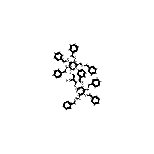 OC(CO[C@H]1O[C@H](COCc2ccccc2)[C@H](OCc2ccccc2)[C@H](OCc2ccccc2)[C@H]1OCc1ccccc1)CO[C@H]1O[C@H](COCc2ccccc2)[C@H](OCc2ccccc2)[C@H](OCc2ccccc2)[C@H]1OCc1ccccc1